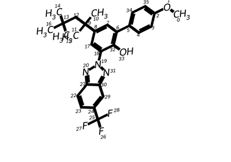 COc1ccc(-c2cc(C(C)(C)CC(C)(C)C)cc(-n3nc4ccc(C(F)(F)F)cc4n3)c2O)cc1